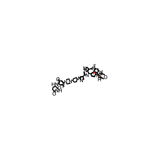 COc1cc(N2CCN([C@H]3CC[C@H](n4cc(-c5cn6ncc(C#N)c6c(-c6ccc(N7C[C@H]8COC[C@@H](C7)N8Cc7ccc(F)cc7)nc6)n5)cn4)CC3)CC2)c(F)cc1NC1CCC(=O)NC1=O